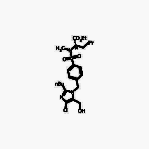 CCCCc1nc(Cl)c(CO)n1Cc1ccc(S(=O)(=O)N(C)[C@@H](CC(C)C)C(=O)OCC)cc1